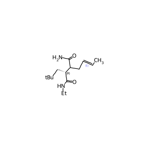 C/C=C/CC(C(N)=O)[C@@H](CC(C)(C)C)C(=O)NCC